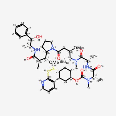 CC[C@H](C)[C@@H]([C@@H](CC(=O)N1CCC[C@@H]1[C@H](OC)[C@@H](C)C(=O)N[C@H](C)[C@@H](O)c1ccccc1)OC)N(C)C(=O)[C@@H](NC(=O)[C@H](C(C)C)N(C)C(=O)O[C@H]1CC[C@H](SSc2ccccn2)CC1)C(C)C